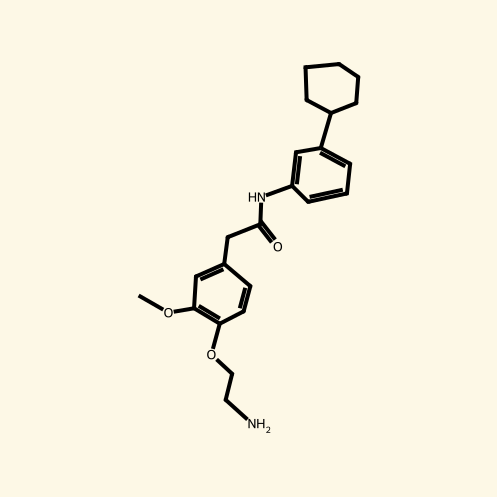 COc1cc(CC(=O)Nc2cccc(C3CCCCC3)c2)ccc1OCCN